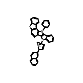 C1=CC2(n3c4ccccc4c4c3c3ccc5sc6ccccc6c5c3n4-c3ccccc3)C[N@]2C1c1ccc2ccccc2c1